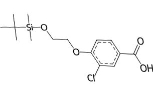 CC(C)(C)[Si](C)(C)OCCOc1ccc(C(=O)O)cc1Cl